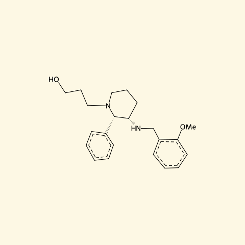 COc1ccccc1CN[C@H]1CCCN(CCCO)[C@H]1c1ccccc1